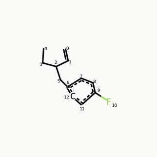 C=CC(CC)Cc1ccc(F)cc1